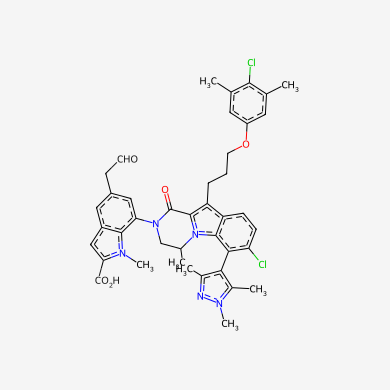 Cc1cc(OCCCc2c3n(c4c(-c5c(C)nn(C)c5C)c(Cl)ccc24)C(C)CN(c2cc(CC=O)cc4cc(C(=O)O)n(C)c24)C3=O)cc(C)c1Cl